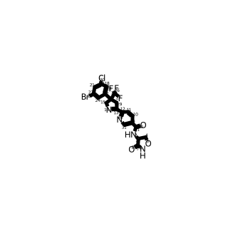 O=C(NC1CONC1=O)c1ccc(C2=NCC(c3cc(Cl)cc(Br)c3)(C(F)(F)F)C2)nc1